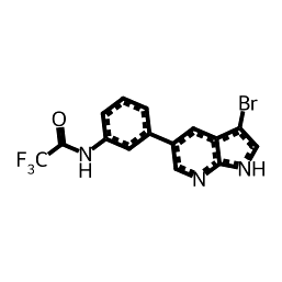 O=C(Nc1cccc(-c2cnc3[nH]cc(Br)c3c2)c1)C(F)(F)F